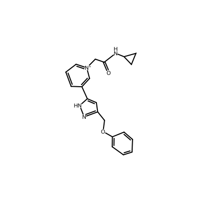 O=C(C[n+]1cccc(-c2cc(COc3ccccc3)n[nH]2)c1)NC1CC1